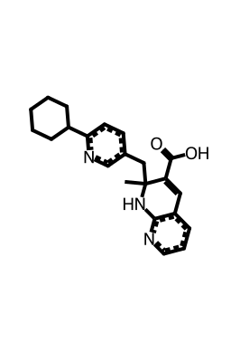 CC1(Cc2ccc(C3CCCCC3)nc2)Nc2ncccc2C=C1C(=O)O